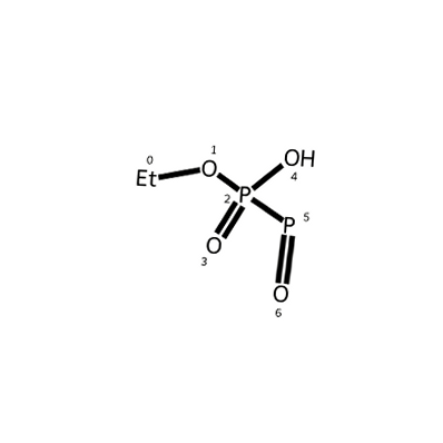 CCOP(=O)(O)P=O